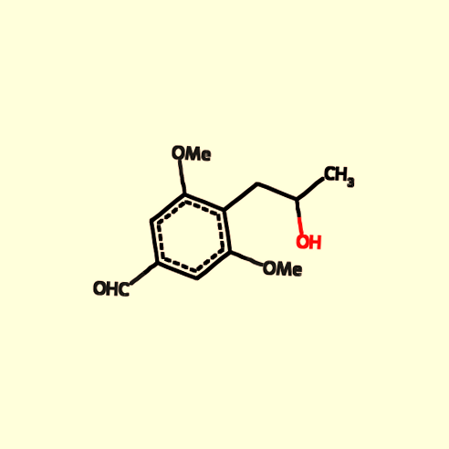 COc1cc(C=O)cc(OC)c1CC(C)O